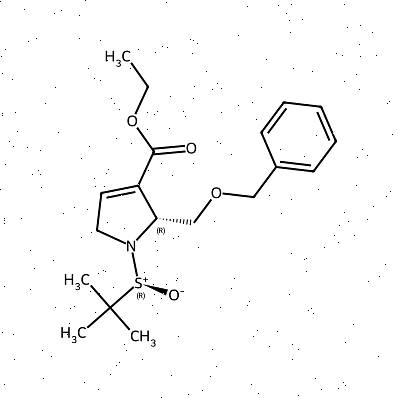 CCOC(=O)C1=CCN([S@@+]([O-])C(C)(C)C)[C@H]1COCc1ccccc1